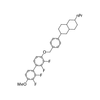 CCCC1CCC2CC(c3ccc(COc4ccc(-c5ccc(OC)c(F)c5F)c(F)c4F)cc3)CCC2C1